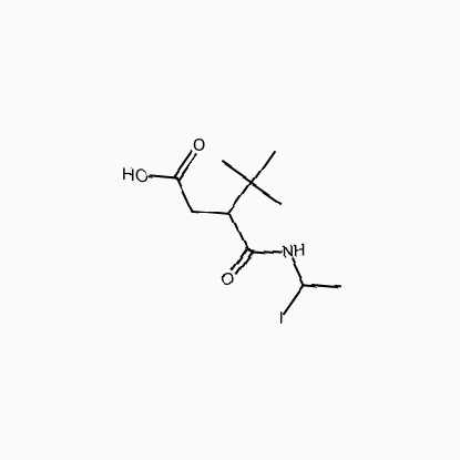 CC(I)NC(=O)C(CC(=O)O)C(C)(C)C